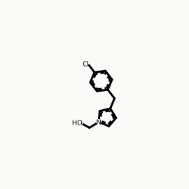 OCn1ccc(Cc2ccc(Cl)cc2)c1